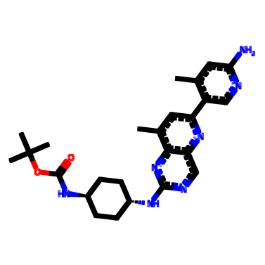 Cc1cc(N)ncc1-c1cc(C)c2nc(N[C@H]3CC[C@H](NC(=O)OC(C)(C)C)CC3)ncc2n1